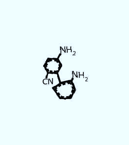 N#Cc1ccc(N)cc1-c1ccccc1N